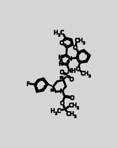 COc1cccc(OC)c1-n1c(NS(=O)(=O)[C@@H]2C[C@@H](c3ccc(F)cc3)CN(C(=O)OC(C)(C)C)C2)nnc1-c1ccc(C)o1